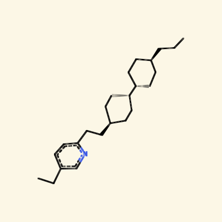 CCC[C@H]1CC[C@H]([C@H]2CC[C@H](CCc3ccc(CC)cn3)CC2)CC1